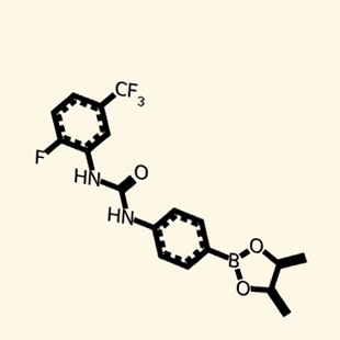 C=C1OB(c2ccc(NC(=O)Nc3cc(C(F)(F)F)ccc3F)cc2)OC1=C